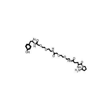 CC(=O)[C@H](Cc1ccc(O)cc1)NC(=O)COCCOCCNC(=O)COCCOCCNC(=O)CC[C@H](N)C(=O)N1CCC[C@H]1N